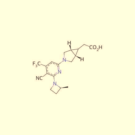 C[C@H]1CCN1c1nc(N2C[C@@H]3C(CC(=O)O)[C@@H]3C2)cc(C(F)(F)F)c1C#N